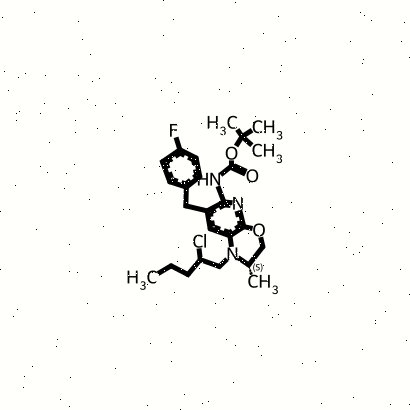 CCCC(Cl)CN1c2cc(Cc3ccc(F)cc3)c(NC(=O)OC(C)(C)C)nc2OC[C@@H]1C